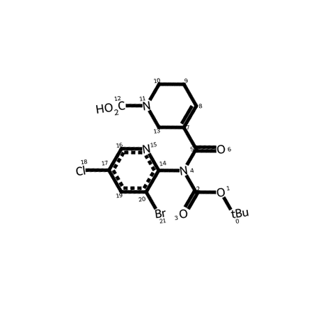 CC(C)(C)OC(=O)N(C(=O)C1=CCCN(C(=O)O)C1)c1ncc(Cl)cc1Br